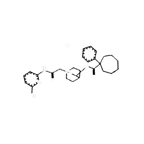 Cc1cccc(NC(=O)C[N+]23CCC(CC2)C(OC(=O)C2(c4ccccc4)CCCCCC2)C3)n1.[Cl-]